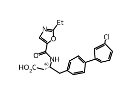 CCc1ncc(C(=O)N[C@@H](CC(=O)O)Cc2ccc(-c3cccc(Cl)c3)cc2)o1